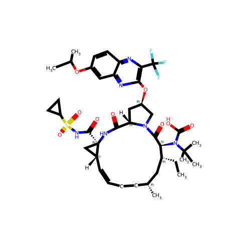 CC[C@@H]1C[C@H](C)CCC=C[C@@H]2C[C@@]2(C(=O)NS(=O)(=O)C2CC2)NC(=O)[C@@H]2C[C@@H](Oc3nc4cc(OC(C)C)ccc4nc3C(F)(F)F)CN2C(=O)[C@H]1N(C(=O)O)C(C)(C)C